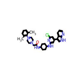 Cc1cccc(C)c1N1CCN(CC(=O)NC2CCC(Nc3cc(-c4c[nH]c5ncccc45)cc(Cl)n3)CC2)CC1